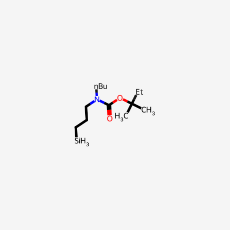 CCCCN(CCC[SiH3])C(=O)OC(C)(C)CC